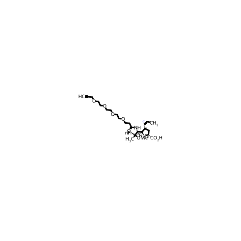 C#CCOCCOCCOCCOCCC(=O)N[C@H]([C@@H]1N[C@@H](C(=O)O)C[C@H]1/C=C\C)[C@](C)(CCC)OC